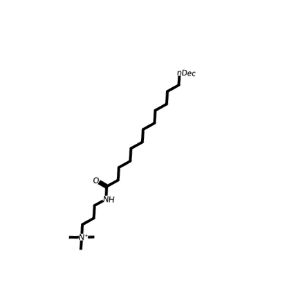 CCCCCCCCCCCCCCCCCCCCCC(=O)NCCC[N+](C)(C)C